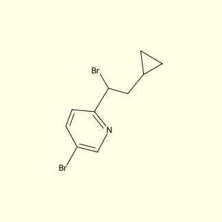 Brc1ccc(C(Br)CC2CC2)nc1